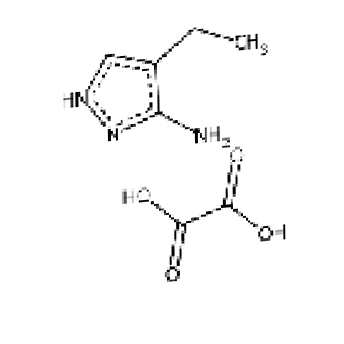 CCc1c[nH]nc1N.O=C(O)C(=O)O